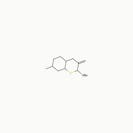 C=C1CC2CCC(C)CC2SC1CCCC